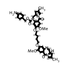 COc1cc2c(cc1OCCCCCOc1cc3c(cc1OC)C(=O)N1C=C(C)CC1CN3C(=O)OCc1ccc(N)cc1)N=C[C@@H]1CC(C)=CN1C2=O